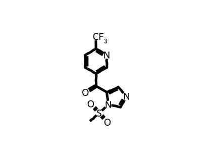 CS(=O)(=O)n1cncc1C(=O)c1ccc(C(F)(F)F)nc1